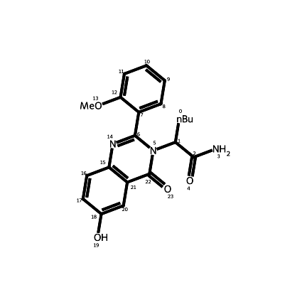 CCCCC(C(N)=O)n1c(-c2ccccc2OC)nc2ccc(O)cc2c1=O